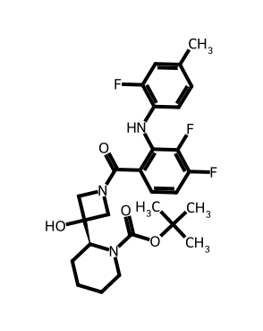 Cc1ccc(Nc2c(C(=O)N3CC(O)([C@@H]4CCCCN4C(=O)OC(C)(C)C)C3)ccc(F)c2F)c(F)c1